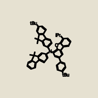 CC(C)c1cccc2c1oc1c(N(c3ccc4c(c3)C(C)(C)c3ccccc3-4)c3ccc4c(c3)C(C)(C)c3cc(C(C)(C)C)ccc3-4)cc(-c3ccc(C(C)(C)C)cc3)cc12